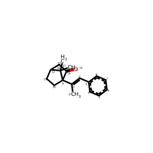 CC(=Cc1ccccc1)C12CCC(CC1=O)C2(C)C